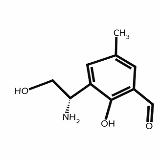 Cc1cc(C=O)c(O)c([C@H](N)CO)c1